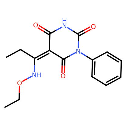 CCONC(CC)=C1C(=O)NC(=O)N(c2ccccc2)C1=O